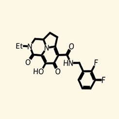 CCN1CC2CCc3c(C(=O)NCc4cccc(F)c4F)c(=O)c(O)c(n32)C1=O